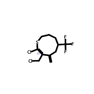 C=C1CC(C(F)(F)F)CCCS/C(Cl)=C\1CCl